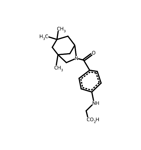 CC1(C)CC2CC(C)(CN2C(=O)c2ccc(NCC(=O)O)cc2)C1